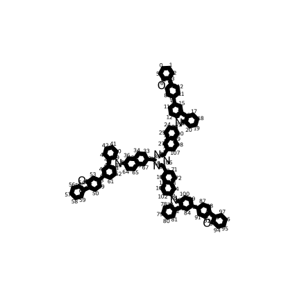 c1ccc2c(c1)oc1cc(-c3ccc4c(c3)c3ccccc3n4-c3ccc4cc(-c5nc(-c6ccc7cc(-n8c9ccccc9c9cc(-c%10ccc%11c(c%10)oc%10ccccc%10%11)ccc98)ccc7c6)nc(-c6ccc7cc(-n8c9ccccc9c9cc(-c%10ccc%11c(c%10)oc%10ccccc%10%11)ccc98)ccc7c6)n5)ccc4c3)ccc12